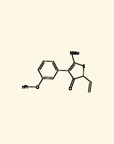 C=CC1SC(NC)=C(c2cccc(OCCC)c2)C1=O